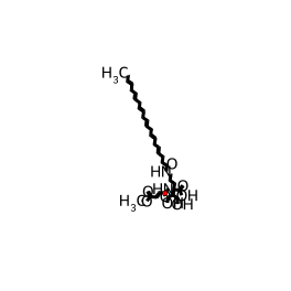 CCC=CCC=CCC=CCC=CCC=CCC=CCCC(=O)NCCCC(NC(=O)C=CC(=O)OC)(C(=O)O)C(CO)CO